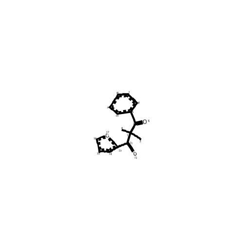 CC(C)(C(=O)c1ccccc1)C(=O)c1ccco1